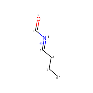 [CH2]CC/[C]=N/C=O